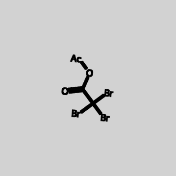 CC(=O)OC(=O)C(Br)(Br)Br